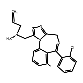 C=CCN(C)Cc1nnc2n1-c1cccc(F)c1C(c1ccccc1Cl)=NC2